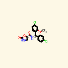 O=C1NC[C@@H](C(=O)N[C@@H](c2ccc(Cl)cc2)c2ccc(Cl)cc2OC(F)(F)F)O1